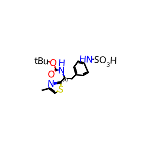 Cc1csc([C@H](Cc2ccc(NS(=O)(=O)O)cc2)NC(=O)OC(C)(C)C)n1